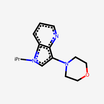 CC(C)n1cc(N2CCOCC2)c2ncccc21